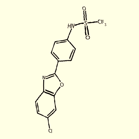 O=S(=O)(Nc1ccc(-c2nc3ccc(Cl)cc3o2)cc1)C(F)(F)F